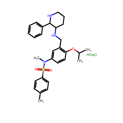 Cc1ccc(S(=O)(=O)N(C)c2ccc(OC(C)C)c(CNC3CCCNC3c3ccccc3)c2)cc1.Cl.Cl